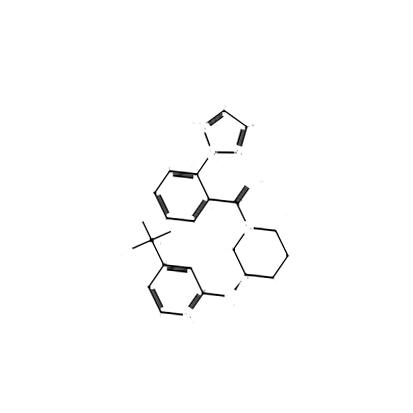 C[C@@H]1CC[C@@H](Oc2cc(C(C)(C)O)ccn2)CN1C(=O)c1ccccc1-n1nccn1